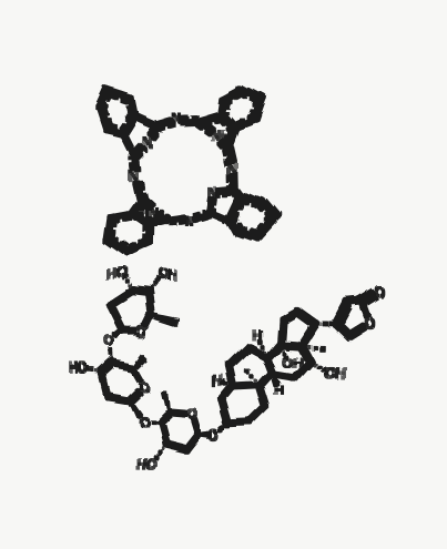 C[C@H]1O[C@@H](O[C@H]2[C@@H](O)C[C@H](O[C@H]3[C@@H](O)C[C@H](O[C@H]4CC[C@@]5(C)[C@H](CC[C@@H]6[C@@H]5C[C@@H](O)[C@]5(C)[C@@H](C7=CC(=O)OC7)CC[C@]65O)C4)O[C@@H]3C)O[C@@H]2C)C[C@H](O)[C@@H]1O.c1ccc2c(c1)-c1nc-2nc2[nH]c(nc3nc(nc4[nH]c(n1)c1ccccc41)-c1ccccc1-3)c1ccccc21